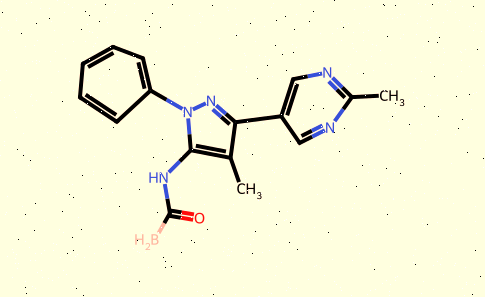 BC(=O)Nc1c(C)c(-c2cnc(C)nc2)nn1-c1ccccc1